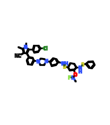 Cc1c(C#N)c(-c2cccc(N3CCN(c4ccc(NSC5C=C(ON(C)F)C(NSc6ccccc6)CC5)cc4)CC3)c2)c(-c2ccc(Cl)cc2)n1C